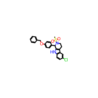 CS(=O)(=O)N1CCc2c([nH]c3ccc(Cl)cc23)C1c1ccc(OCc2ccccc2)cc1